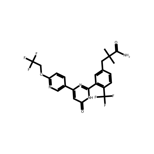 CC(C)(Cc1ccc(C(F)(F)F)c(-c2nc(-c3ccc(OCC(F)(F)F)nc3)cc(=O)[nH]2)c1)C(N)=O